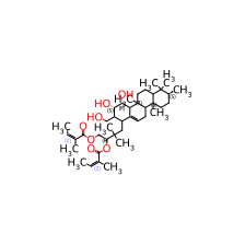 C/C=C(/C)C(=O)OC[C@H](OC(=O)/C(C)=C\C)C(C)(C)CC1C2=CCC3[C@@](C)(CCC4C(C)(C)[C@@H](C)CC[C@@]43C)C2[C@@H](O)[C@@H](O)C1CO